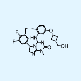 Cc1ccc(O[C@H]2C[C@H](CO)C2)cc1NC1=NC(=O)N(C)C2=NCC(c3cc(F)c(F)c(F)c3)N12